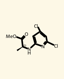 COC(=O)[C@H](C)Nc1cc(Cl)cc(Cl)n1